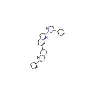 c1ccc(-c2ccnc(-c3ccc4ccc(-c5ccc6ccc(-c7ccccn7)nc6c5)cc4n3)c2)cc1